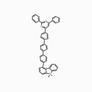 C[Si]1(C)c2ccccc2-c2c(-c3ccc(-c4ccc(-c5ccc(-c6cc(-c7ccccc7)nc(-c7ccccc7)n6)cc5)cc4)cc3)cccc21